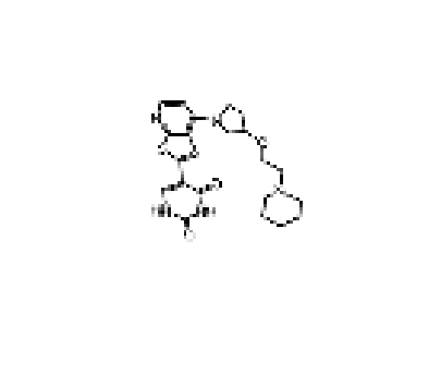 O=c1[nH]cc(-c2cc3c(N4CCC(OCCN5CCCCC5)C4)ccnc3s2)c(=O)[nH]1